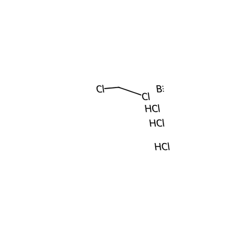 Cl.Cl.Cl.ClCCl.[B]